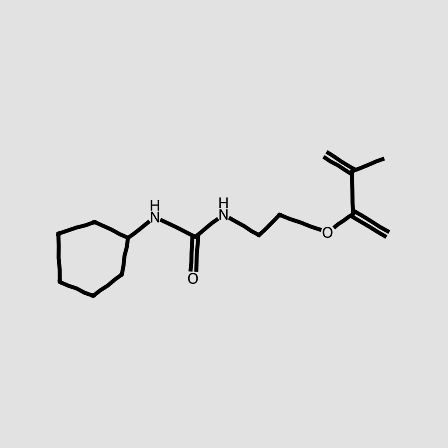 C=C(C)C(=C)OCCNC(=O)NC1CCCCC1